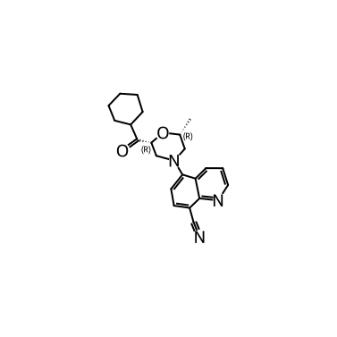 C[C@@H]1CN(c2ccc(C#N)c3ncccc23)C[C@H](C(=O)C2CCCCC2)O1